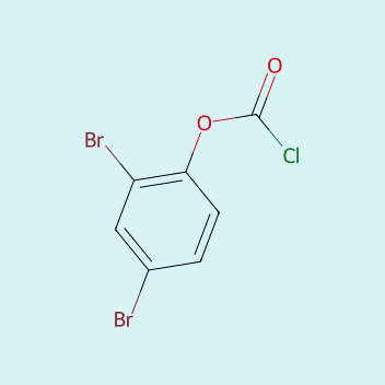 O=C(Cl)Oc1ccc(Br)cc1Br